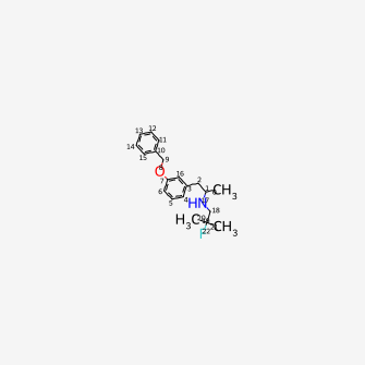 CC(Cc1cccc(OCc2ccccc2)c1)NCC(C)(C)F